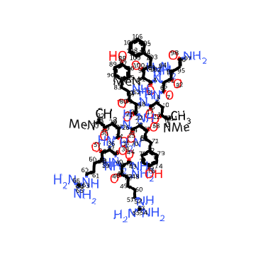 CNC(C(=O)NC(C(=O)NC(CC(=O)[C@H](C)NC)C(=O)NC(C(=O)NC(C(=O)NC(CC(=O)[C@H](C)NC)C(=O)NC(C(=O)NC(C(N)=O)C(=O)[C@@H](N)CCCNC(N)N)C(=O)[C@@H](N)CCCNC(N)N)C(=O)[C@@H](N)Cc1ccc(O)cc1)C(=O)[C@@H](N)Cc1ccc(O)cc1)C(=O)[C@@H](N)CC(N)=O)C(=O)[C@@H](N)Cc1ccccc1